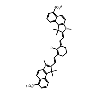 CN1/C(=C/C=C2\CCCC(/C=C/C3=[N+](C)c4ccc5c(S(=O)(=O)O)cccc5c4C3(C)C)=C2Cl)C(C)(C)c2c1ccc1c(S(=O)(=O)O)cccc21